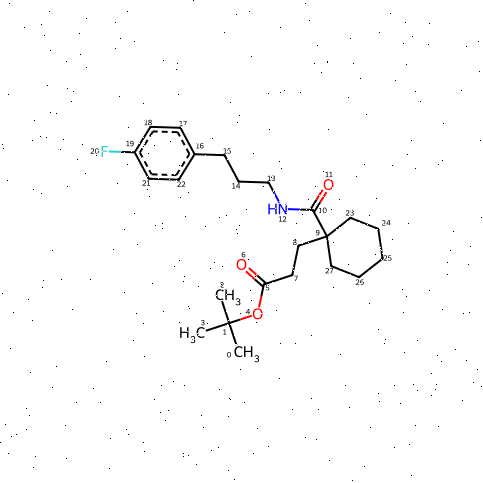 CC(C)(C)OC(=O)CCC1(C(=O)NCCCc2ccc(F)cc2)CCCCC1